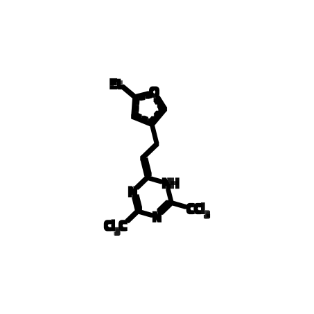 CCc1cc(CC=C2N=C(C(Cl)(Cl)Cl)N=C(C(Cl)(Cl)Cl)N2)co1